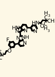 CN(C)CCOc1cc(F)cc(-c2ccnc3[nH]c(-c4n[nH]c5ccc(-c6cncc(NC(=O)CC(C)(C)C)c6)nc45)nc23)c1